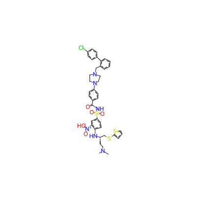 CN(C)CC[C@H](CSc1cccs1)Nc1ccc(S(=O)(=O)NC(=O)c2ccc(N3CCN(Cc4ccccc4-c4ccc(Cl)cc4)CC3)cc2)cc1[N+](=O)O